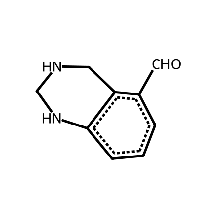 O=Cc1cccc2c1CNCN2